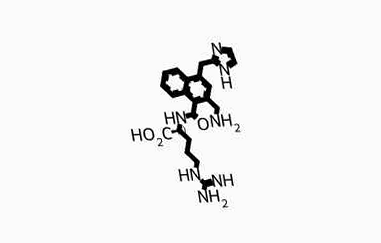 N=C(N)NCCC[C@H](NC(=O)c1c(CN)cc(Cc2ncc[nH]2)c2ccccc12)C(=O)O